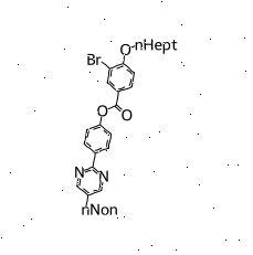 CCCCCCCCCc1cnc(-c2ccc(OC(=O)c3ccc(OCCCCCCC)c(Br)c3)cc2)nc1